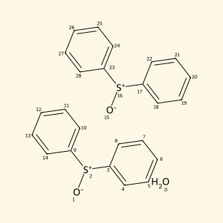 O.[O-][S+](c1ccccc1)c1ccccc1.[O-][S+](c1ccccc1)c1ccccc1